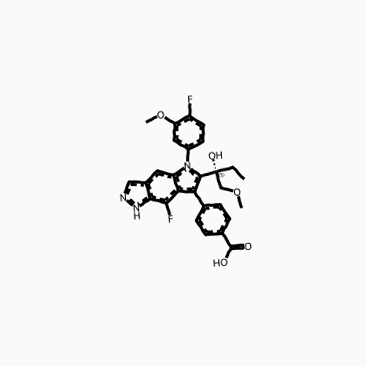 CC[C@@](O)(COC)c1c(-c2ccc(C(=O)O)cc2)c2c(F)c3[nH]ncc3cc2n1-c1ccc(F)c(OC)c1